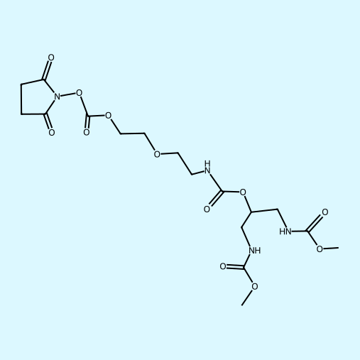 COC(=O)NCC(CNC(=O)OC)OC(=O)NCCOCCOC(=O)ON1C(=O)CCC1=O